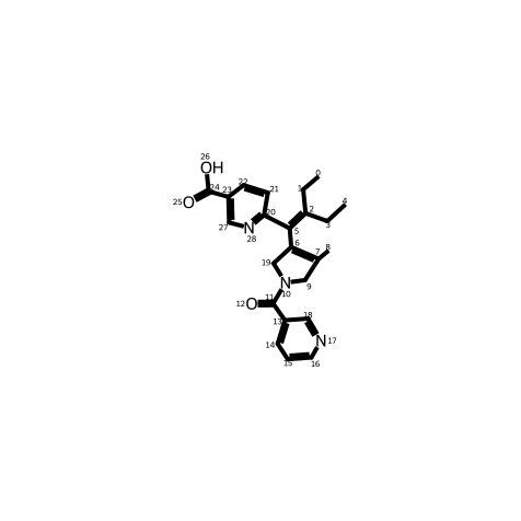 CCC(CC)=C(C1=C(C)CN(C(=O)c2cccnc2)C1)c1ccc(C(=O)O)cn1